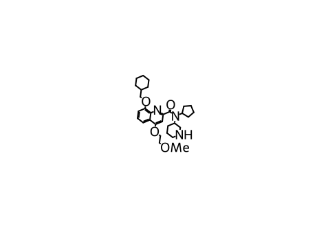 COCCOc1cc(C(=O)N(C2CCCC2)[C@@H]2CCCNC2)nc2c(OCC3CCCCC3)cccc12